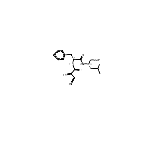 CC(C)C[C@@H](CO)NC(=O)[C@H](Cc1ccccc1)NC(=O)C(=N)C=N